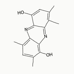 Cc1cc(O)c2nc3c(C)cc(C)c(O)c3nc2c1C